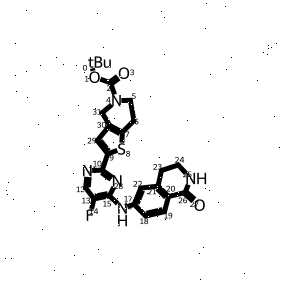 CC(C)(C)OC(=O)N1CCc2sc(-c3ncc(F)c(Nc4ccc5c(c4)CCNC5=O)n3)cc2C1